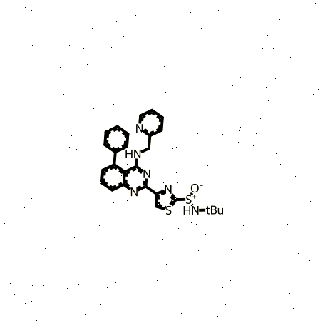 CC(C)(C)N[S+]([O-])c1nc(-c2nc(NCc3ccccn3)c3c(-c4ccccc4)cccc3n2)cs1